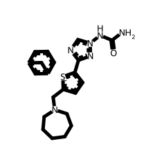 NC(=O)Nn1cnc(-c2ccc(CN3CCCCCC3)s2)n1.c1cc2cc(c1)C2